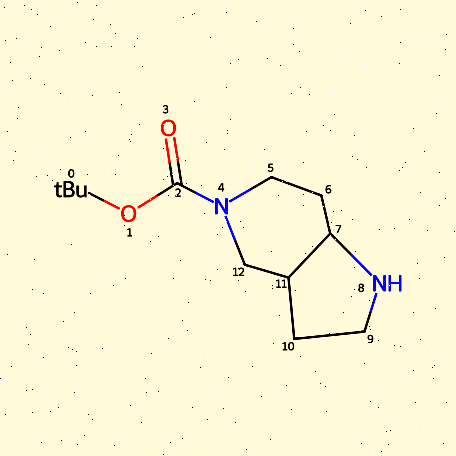 CC(C)(C)OC(=O)N1CCC2NCCC2C1